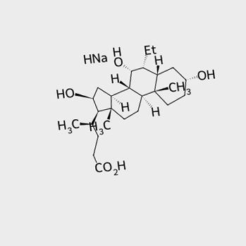 CC[C@H]1[C@@H](O)[C@@H]2[C@H](CC[C@]3(C)[C@@H]([C@H](C)CCC(=O)O)[C@@H](O)C[C@@H]23)[C@@]2(C)CC[C@@H](O)C[C@@H]12.[NaH]